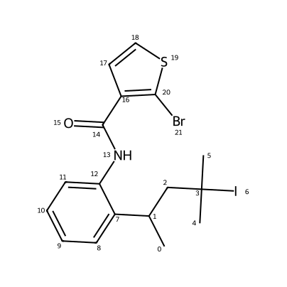 CC(CC(C)(C)I)c1ccccc1NC(=O)c1ccsc1Br